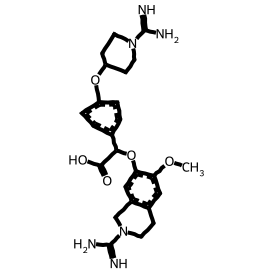 COc1cc2c(cc1OC(C(=O)O)c1ccc(OC3CCN(C(=N)N)CC3)cc1)CN(C(=N)N)CC2